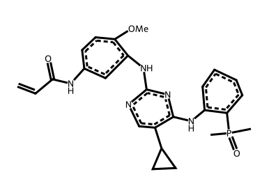 C=CC(=O)Nc1ccc(OC)c(Nc2ncc(C3CC3)c(Nc3ccccc3P(C)(C)=O)n2)c1